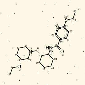 CCO[C@@H]1CCCN(C[C@H]2CCCCC2NC(=O)c2ccc(SCC)nc2)C1